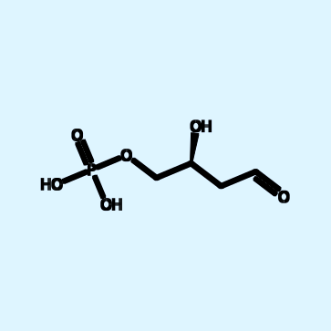 O=CC[C@H](O)COP(=O)(O)O